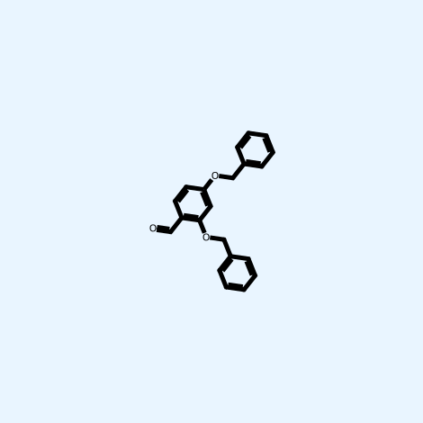 O=Cc1ccc(OCc2ccccc2)cc1OCc1ccccc1